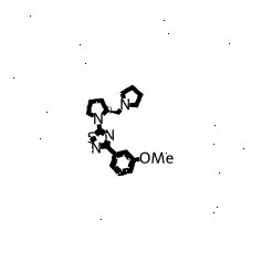 COc1cccc(-c2nsc(N3CCC[C@H]3CN3CCCC3)n2)c1